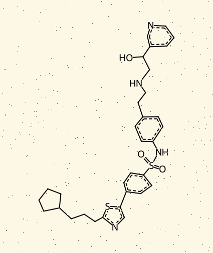 O=S(=O)(Nc1ccc(CCNCC(O)c2cccnc2)cc1)c1ccc(-c2cnc(CCCC3CCCC3)s2)cc1